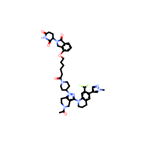 CC(=O)N1CCc2c(c(N3CCCc4cc(-c5cnn(C)c5)c(C(F)F)cc43)nn2C2CCN(C(=O)CCCCCOc3cccc4c3CN(C3CCC(=O)NC3=O)C4=O)CC2)C1